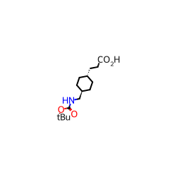 CC(C)(C)OC(=O)NC[C@H]1CC[C@H](CCC(=O)O)CC1